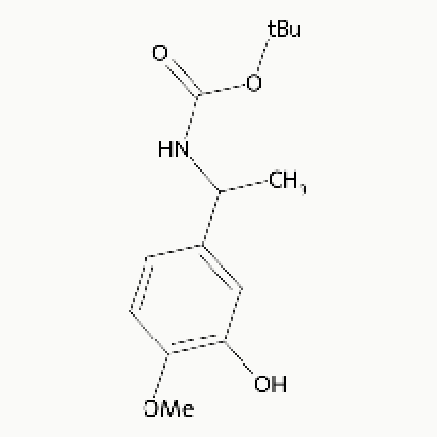 COc1ccc(C(C)NC(=O)OC(C)(C)C)cc1O